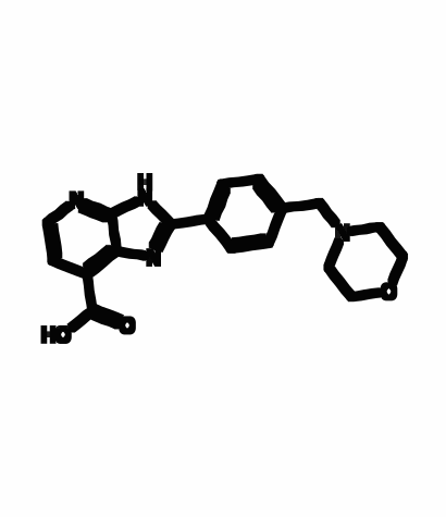 O=C(O)c1ccnc2[nH]c(-c3ccc(CN4CCOCC4)cc3)nc12